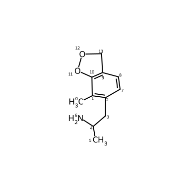 Cc1c(CC(C)N)ccc2c1OOC2